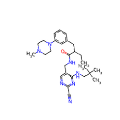 CCC(Cc1cccc(N2CCN(C)CC2)c1)C(=O)NCc1cnc(C#N)nc1NCC(C)(C)C